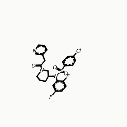 O=C(Cc1cccnc1)N1CCCC(N(c2cc(F)ccc2F)S(=O)(=O)c2ccc(Cl)cc2)C1